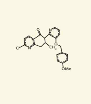 COc1ccc(COc2cccnc2C2C(=O)c3ccc(Cl)nc3CC2C)cc1